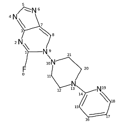 Fc1nc2ncnc-2cn1N1CCN(c2ccccn2)CC1